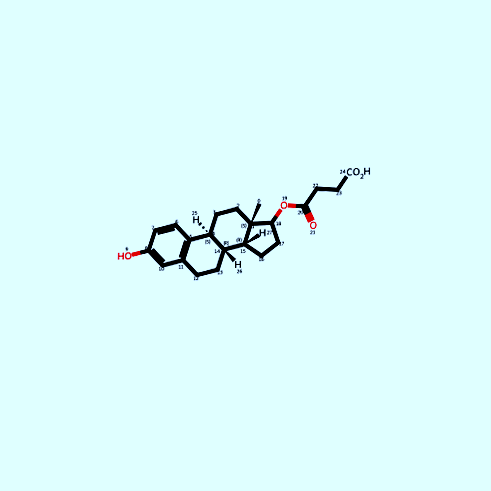 C[C@]12CC[C@@H]3c4ccc(O)cc4CC[C@H]3[C@H]1CCC2OC(=O)CCC(=O)O